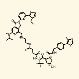 CCn1cnnc1-c1cccc(N2Cc3c(cc(N(C)C(C)C)nc3CNCCNC(=O)CCC(=O)N[C@H](C(=O)N3C[C@H](O)C[C@H]3C(=O)NCc3ccc(-c4scnc4C)cc3)C(C)(C)C)C2=O)n1